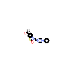 CCC(=O)c1ccc2c(c1)sc(=O)n2CCN1CCN(C2CCCCC2)CC1